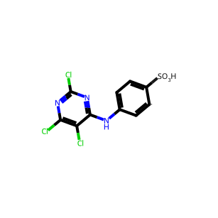 O=S(=O)(O)c1[c]cc(Nc2nc(Cl)nc(Cl)c2Cl)cc1